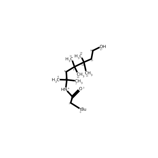 CC(C)(C)CC(=O)NC(C)(C)CC(C)(C)C(C)(C)CCO